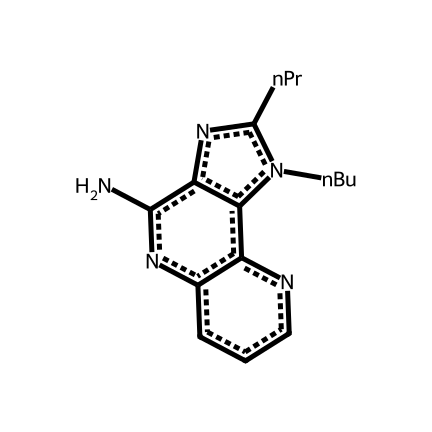 [CH2]CCCn1c(CCC)nc2c(N)nc3cccnc3c21